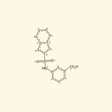 O=C(O)c1cccc(NS(=O)(=O)c2cc3ccccc3s2)c1